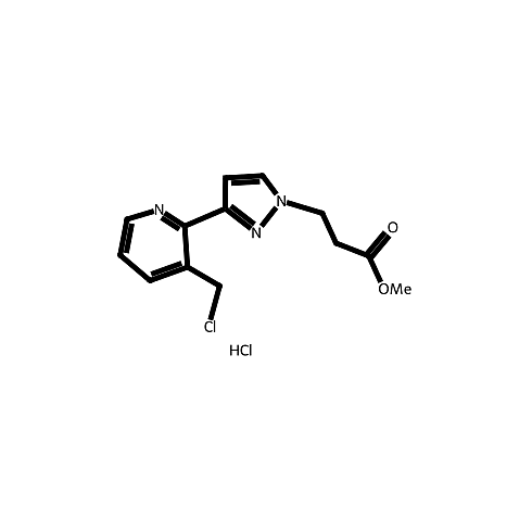 COC(=O)CCn1ccc(-c2ncccc2CCl)n1.Cl